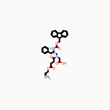 C=CCOC(=O)CCC(=O)N(CC(=O)O)C[C@H](Cc1ccccc1)NC(=O)OCC1c2ccccc2-c2ccccc21